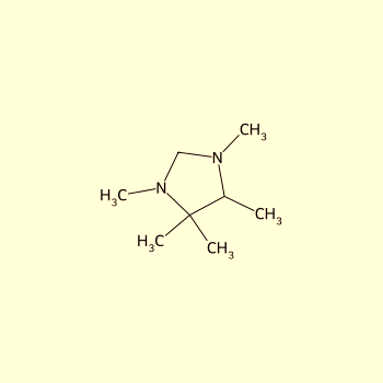 CC1N(C)CN(C)C1(C)C